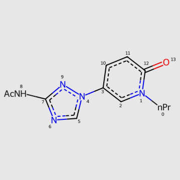 CCCn1cc(-n2cnc(NC(C)=O)n2)ccc1=O